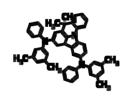 Cc1cc(C)cc(N(C2=CC3=C4C(C2)c2cc(N(c5ccccc5)c5cc(C)cc(C)c5)ccc2N4c2ccccc2C3(C)C)c2ccccc2)c1